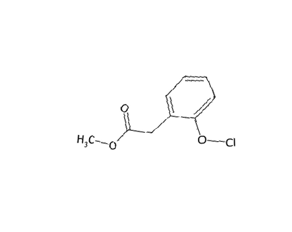 COC(=O)Cc1ccccc1OCl